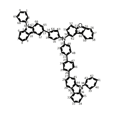 c1ccc(-n2c3ccccc3c3cc(-c4ccc(N(c5ccc(-c6ccc(-c7ccc8c9ccccc9n(-c9ccccc9)c8c7)cc6)cc5)c5ccc6oc7ccccc7c6c5)cc4)ccc32)cc1